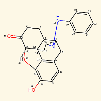 O=C1CCC2C3Cc4ccc(O)c5c4[C@@]2(CCN3Nc2ccccc2)[C@H]1O5